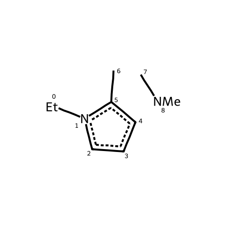 CCn1cccc1C.CNC